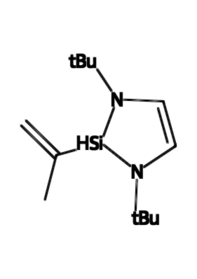 C=C(C)[SiH]1N(C(C)(C)C)C=CN1C(C)(C)C